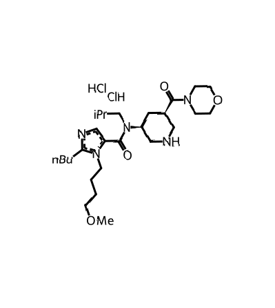 CCCCc1ncc(C(=O)N(CC(C)C)[C@@H]2CNC[C@H](C(=O)N3CCOCC3)C2)n1CCCCOC.Cl.Cl